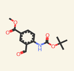 COC(=O)c1ccc(NC(=O)OC(C)(C)C)c(C=O)c1